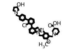 COc1cc(Cn2ncc3c(-c4cccc(-c5ccc(CN6CC[C@@H](O)C6)cc5)c4Cl)cccc32)c(Cl)cc1CN1CCC[C@@H](C(=O)O)C1